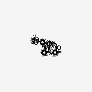 CC1(C)OB(c2ccc(C3CCC4(CC3)CCN(C(=O)c3cc(Cc5n[nH]c(=O)c6ccccc56)ccc3F)C4)cc2)OC1(C)C